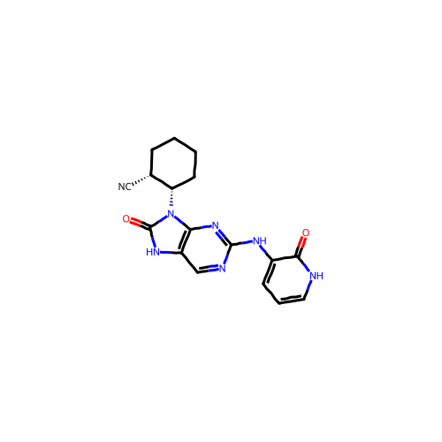 N#C[C@@H]1CCCC[C@@H]1n1c(=O)[nH]c2cnc(Nc3ccc[nH]c3=O)nc21